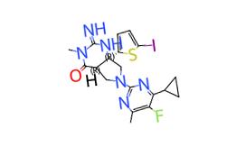 Cc1nc(N2C[C@H]3C(=O)N(C)C(=N)N[C@@]3(c3ccc(I)s3)C2)nc(C2CC2)c1F